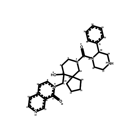 O=C(N1CCC(O)(Cn2ccc3ccncc3c2=O)C2(CCCC2)C1)N1CCNCC1c1ccccc1